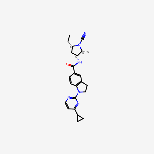 CC[C@H]1C[C@@H](NC(=O)c2ccc3c(c2)CCN3c2nccc(C3CC3)n2)[C@@H](C)N1C#N